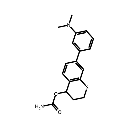 CN(C)c1cccc(-c2ccc3c(c2)SCCC3OC(N)=O)c1